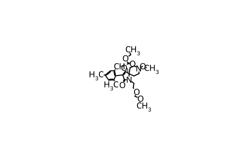 CCOC(=O)OC1=C(c2c(C)cc(C)cc2C)C(=O)N(CCOCOC)C12CCN(OC)CC2